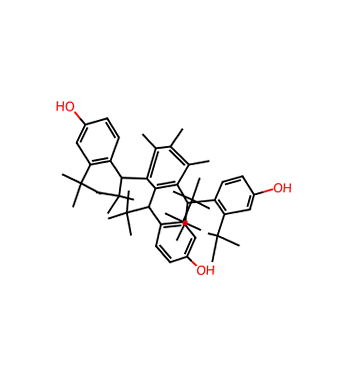 Cc1c(C)c(C(c2ccc(O)cc2C(C)(C)C)C(C)(C)C)c(C(c2ccc(O)cc2C(C)(C)C)C(C)(C)C)c(C(c2ccc(O)cc2C(C)(C)C)C(C)(C)C)c1C